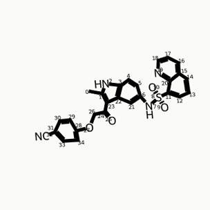 Cc1[nH]c2ccc(NS(=O)(=O)c3cccc4cccnc34)cc2c1C(=O)COc1ccc(C#N)cc1